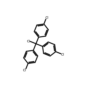 Clc1ccc(C(Cl)(c2ccc(Cl)cc2)c2ccc(Cl)cc2)cc1